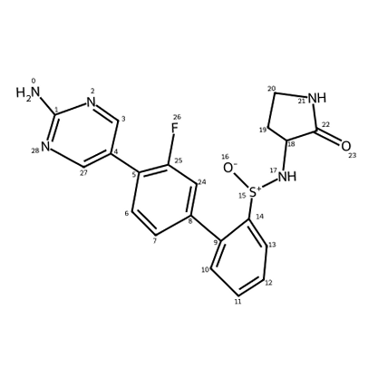 Nc1ncc(-c2ccc(-c3ccccc3[S+]([O-])NC3CCNC3=O)cc2F)cn1